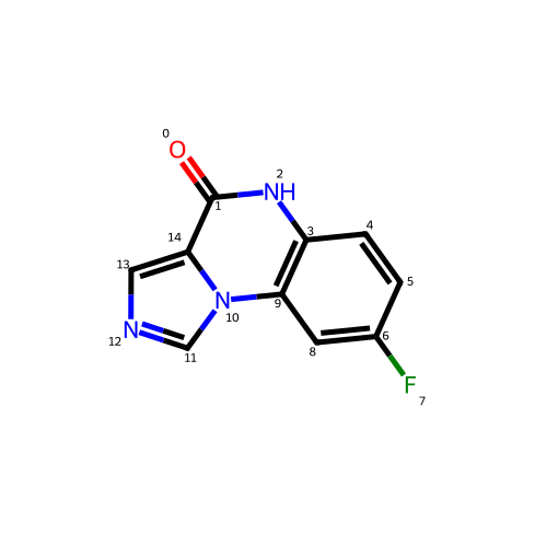 O=c1[nH]c2ccc(F)cc2n2cncc12